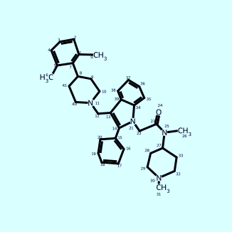 Cc1cccc(C)c1C1CCN(Cc2c(-c3ccccc3)n(CC(=O)N(C)C3CCN(C)CC3)c3ccccc23)CC1